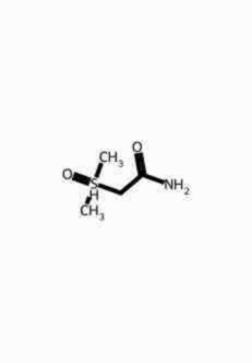 C[SH](C)(=O)CC(N)=O